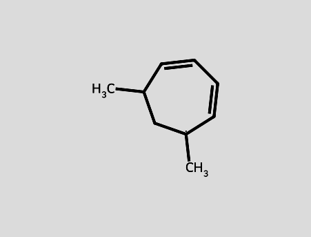 C[C]1C=CC=CC(C)C1